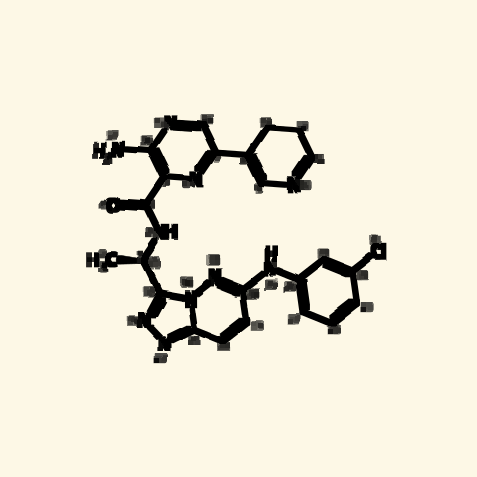 C[C@@H](NC(=O)c1nc(C2=CN=CCC2)cnc1N)c1nnc2ccc(Nc3cccc(Cl)c3)nn12